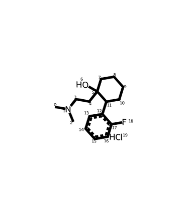 CN(C)CCC1(O)CCCCC1c1ccccc1F.Cl